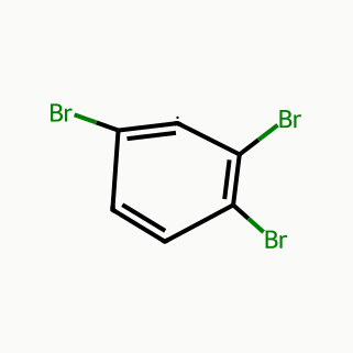 Brc1[c]c(Br)c(Br)cc1